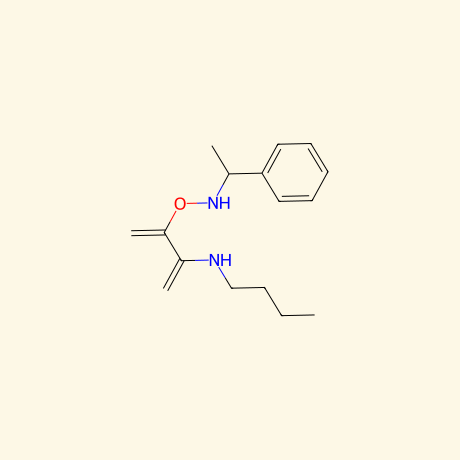 C=C(NCCCC)C(=C)ONC(C)c1ccccc1